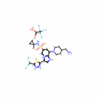 CC1(NS(=O)(=O)c2cc(N3CCC(CN)CC3)c3ncc(-c4nnc(C(F)F)s4)n3c2)CC1.O=C(O)C(F)(F)F